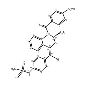 COc1ccc(C(=O)N2c3ccccc3[C@H](N(C(C)=O)c3ccc(NS(C)(=O)=O)cc3)C[C@@H]2C)cc1